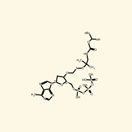 CCCCC(CCC)OC(=O)NCC(C)(C)SSCOC1C[C@H](n2cnc3c(N)ncnc32)O[C@@H]1COP(=O)(O)OP(=O)(O)OP(=O)(O)O